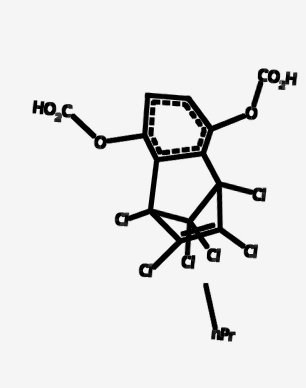 CCCC.O=C(O)Oc1ccc(OC(=O)O)c2c1C1(Cl)C(Cl)=C(Cl)C2(Cl)C1(Cl)Cl